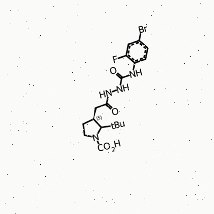 CC(C)(C)C1[C@H](CC(=O)NNC(=O)Nc2ccc(Br)cc2F)CCN1C(=O)O